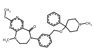 CSc1ncc2c(n1)N(C)CCN(c1cccc(COC3(c4ccccc4)CCN(C)CC3)c1)C2=O